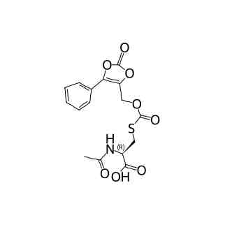 CC(=O)N[C@@H](CSC(=O)OCc1oc(=O)oc1-c1ccccc1)C(=O)O